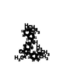 CCn1c(=O)c2cnc(Nc3ccc4c(c3)CCNC4(C)C)nc2n1-c1ccc(F)c(C(C)(C)C)c1